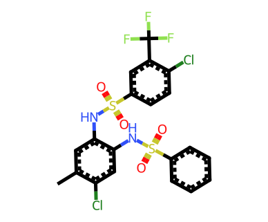 Cc1cc(NS(=O)(=O)c2ccc(Cl)c(C(F)(F)F)c2)c(NS(=O)(=O)c2ccccc2)cc1Cl